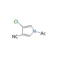 CC(=O)n1cc(Cl)c(C#N)c1